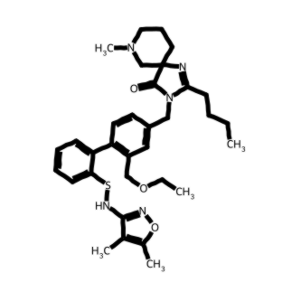 CCCCC1=NC2(CCCN(C)C2)C(=O)N1Cc1ccc(-c2ccccc2SNc2noc(C)c2C)c(COCC)c1